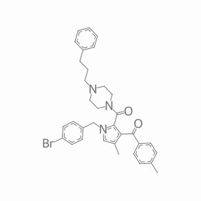 Cc1ccc(C(=O)c2c(C)cn(Cc3ccc(Br)cc3)c2C(=O)N2CCN(CCCc3ccccc3)CC2)cc1